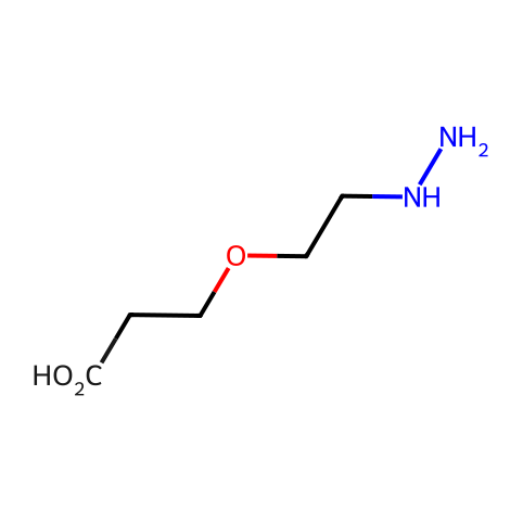 NNCCOCCC(=O)O